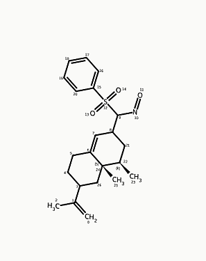 C=C(C)C1CCC2=CC(C(N=O)S(=O)(=O)c3ccccc3)C[C@@H](C)[C@]2(C)C1